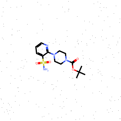 CC(C)(C)OC(=O)N1CCN(c2ncccc2S(N)(=O)=O)CC1